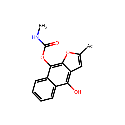 BNC(=O)Oc1c2ccccc2c(O)c2cc(C(C)=O)oc12